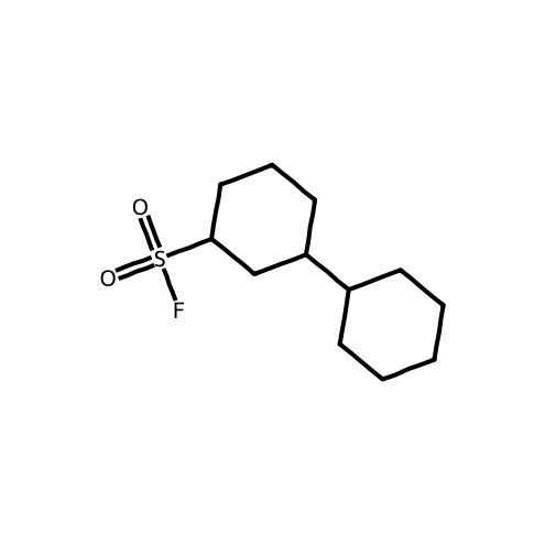 O=S(=O)(F)C1CCCC(C2CCCCC2)C1